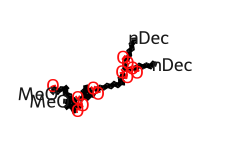 CCCCCCCCCCCCCCCC(=O)OCC(COC(=O)CCCCCCCCCCCCCCC)OC(=O)CC(C)CCCCCCC(=O)Oc1c(C)cc(COc2c(C/C=C(\C)CCC(=O)OC)c(OC)c(C)c3c2C(=O)OC3)cc1C